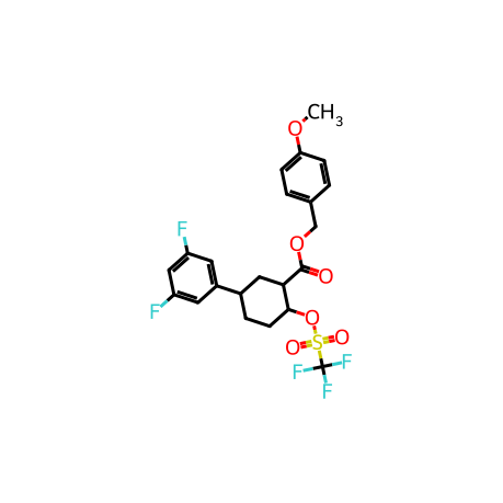 COc1ccc(COC(=O)C2CC(c3cc(F)cc(F)c3)CCC2OS(=O)(=O)C(F)(F)F)cc1